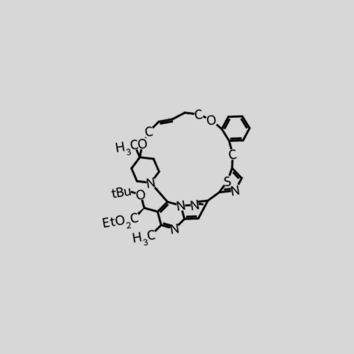 CCOC(=O)[C@@H](OC(C)(C)C)c1c(C)nc2cc3nn2c1N1CCC(C)(CC1)OC/C=C/CCOc1ccccc1Cc1cnc-3s1